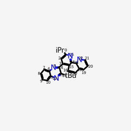 CC(C)c1cc(-c2nc3ccccc3nc2C(C)(C)C)c2ccc3cccnc3c2n1